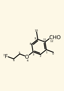 Cc1cc(OCCF)cc(C)c1C=O